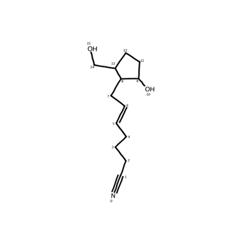 N#CCCC/C=C/CC1C(O)CCC1CO